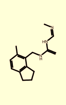 C=C(N/C=N\C)NCc1c(C)ccc2c1CCC2